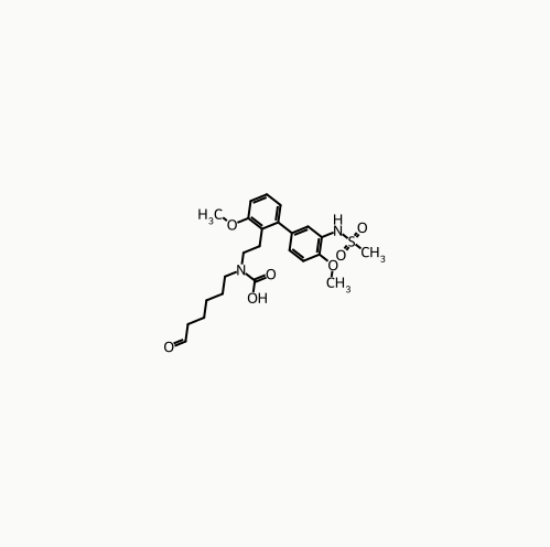 COc1ccc(-c2cccc(OC)c2CCN(CCCCCC=O)C(=O)O)cc1NS(C)(=O)=O